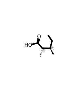 CC[C@@H](C)[C@H](C)C(=O)O